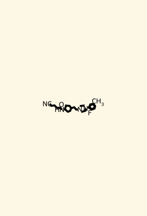 Cc1ccc(F)c(N2CCN(CCC3CCC(NC(=O)CCCC#N)CC3)CC2)c1